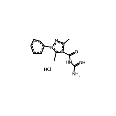 Cc1nn(-c2ccccc2)c(C)c1C(=O)NC(=N)N.Cl